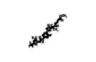 COC(=O)CCCNC(C)(C)c1ncn(-c2ncc(NC(=O)Cn3nc(C(F)(F)F)cc3C)cc2F)n1